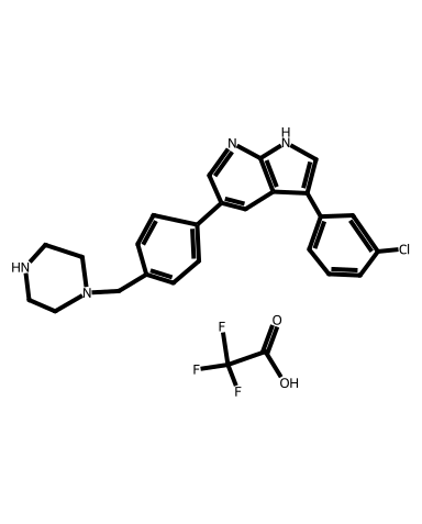 Clc1cccc(-c2c[nH]c3ncc(-c4ccc(CN5CCNCC5)cc4)cc23)c1.O=C(O)C(F)(F)F